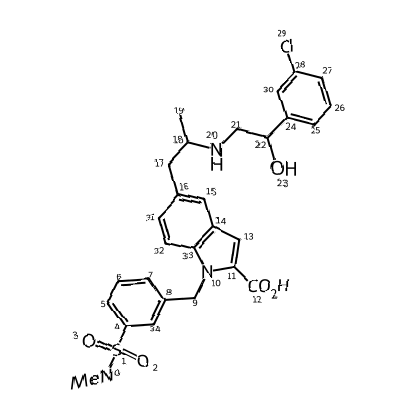 CNS(=O)(=O)c1cccc(Cn2c(C(=O)O)cc3cc(CC(C)NCC(O)c4cccc(Cl)c4)ccc32)c1